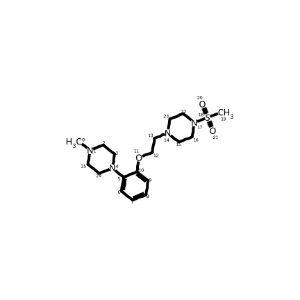 CN1CCN(c2ccccc2OCCN2CCN(S(C)(=O)=O)CC2)CC1